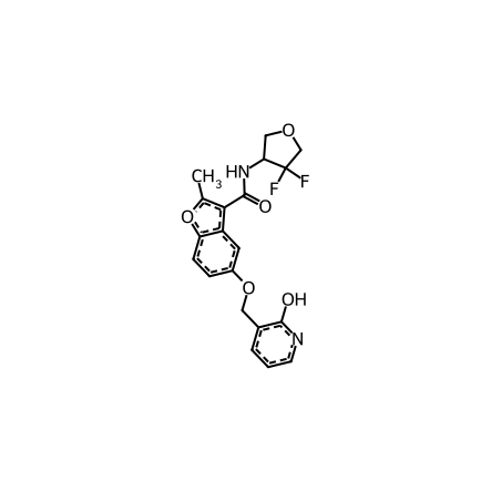 Cc1oc2ccc(OCc3cccnc3O)cc2c1C(=O)NC1COCC1(F)F